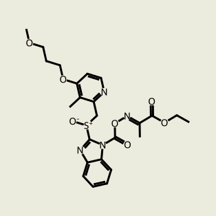 CCOC(=O)/C(C)=N/OC(=O)n1c([S+]([O-])Cc2nccc(OCCCOC)c2C)nc2ccccc21